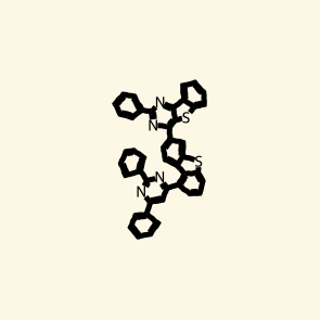 c1ccc(-c2cc(-c3cccc4sc5cc(-c6nc(-c7ccccc7)nc7c6sc6ccccc67)ccc5c34)nc(-c3ccccc3)n2)cc1